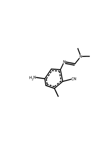 Cc1cc(N)cc(/N=C/N(C)C)c1C#N